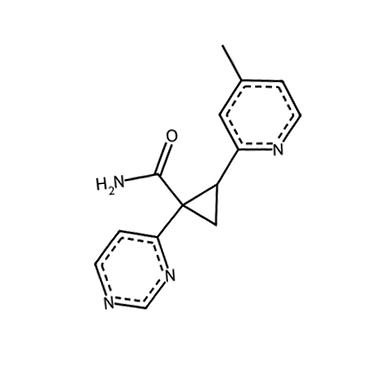 Cc1ccnc(C2CC2(C(N)=O)c2ccncn2)c1